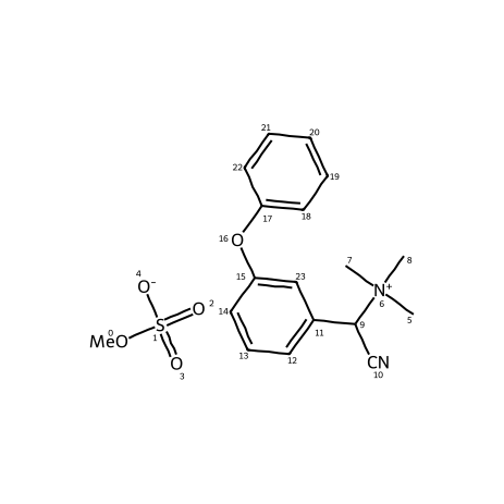 COS(=O)(=O)[O-].C[N+](C)(C)C(C#N)c1cccc(Oc2ccccc2)c1